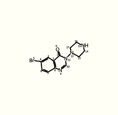 O=c1c2cc(Br)ccc2ncn1N1CCNCC1